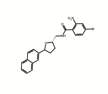 Nc1cc(Br)ccc1C(=O)NC[C@@H]1CCC(c2ccc3ccccc3c2)O1